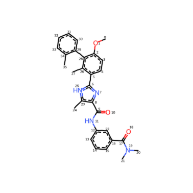 COc1ccc(-c2nc(C(=O)Nc3cccc(C(=O)N(C)C)c3)c(C)[nH]2)c(C)c1-c1ccccc1C